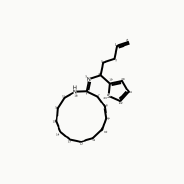 C=CCCC(N=C1CCCCCCCCCCCN1)c1cccs1